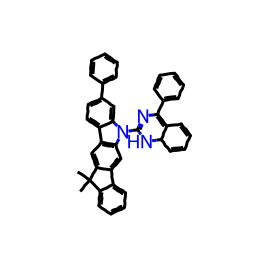 CC1(C)c2ccccc2-c2cc3c(cc21)c1ccc(-c2ccccc2)cc1n3C1=NC(c2ccccc2)=C2C=CC=CC2N1